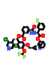 O=C(NC(C(=O)OC1CN2CCC1CC2)c1cccc(F)c1)c1cccc(C(=O)O[C@@H](Cc2c(Cl)cncc2Cl)c2ccc(OC(F)F)c(OCC3CC3)c2)c1